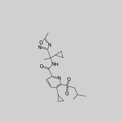 Cc1nc(C(C)(NC(=O)c2ccc(C3CC3)c(S(=O)(=O)CC(C)C)n2)C2CC2)no1